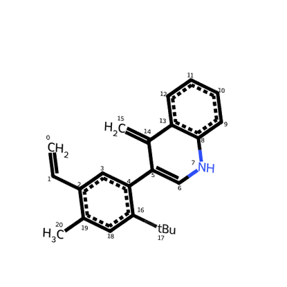 C=Cc1cc(C2=CNc3ccccc3C2=C)c(C(C)(C)C)cc1C